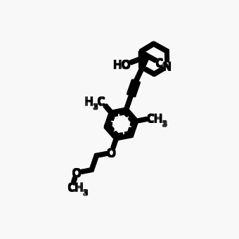 COCCOc1cc(C)c(C#CC2(O)CN3CCC2CC3)c(C)c1